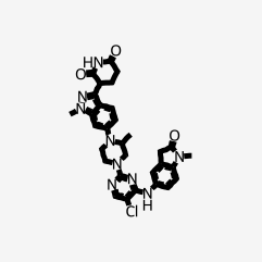 CC1CN(c2ncc(Cl)c(Nc3ccc4c(c3)CC(=O)N4C)n2)CCN1c1ccc2c(C3CCC(=O)NC3=O)nn(C)c2c1